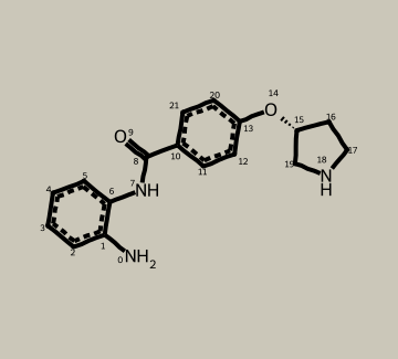 Nc1ccccc1NC(=O)c1ccc(O[C@@H]2CCNC2)cc1